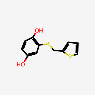 Oc1ccc(O)c(SCc2cccs2)c1